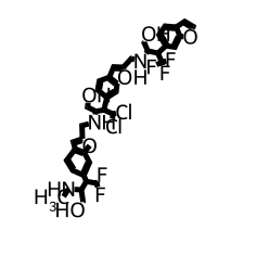 CNC(CO)C(c1ccc2cc(CNC(CO)C(c3ccc4cc(CNC(CO)C(c5ccc6ccoc6c5)C(F)(F)F)oc4c3)C(Cl)Cl)oc2c1)C(F)F